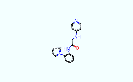 O=C(CNc1ccncc1)Nc1ccccc1-n1cccc1